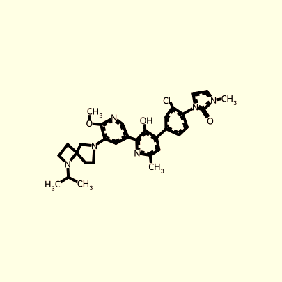 COc1ncc(-c2nc(C)cc(-c3ccc(-n4ccn(C)c4=O)c(Cl)c3)c2O)cc1N1CCC2(CCN2C(C)C)C1